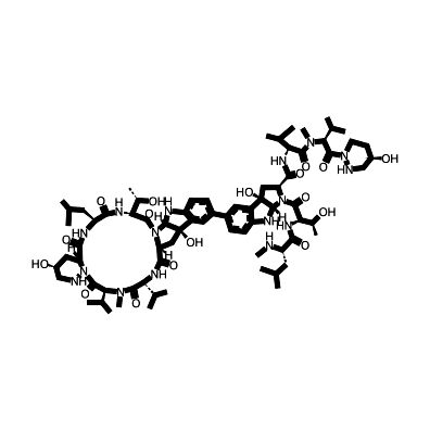 CN[C@@H](CC(C)C)C(=O)N[C@@H](C(=O)N1[C@H](C(=O)N[C@@H](C(=O)N(C)[C@H](C(=O)N2CC[C@@H](O)CN2)C(C)C)C(C)C)C[C@@]2(O)c3cc(-c4ccc5c(c4)[C@]4(O)C[C@H]6C(=O)N[C@H](C(C)C)C(=O)N(C)[C@@H](C(C)C)C(=O)N7NC[C@H](O)C[C@@H]7C(=O)N[C@@H](CC(C)C)C(=O)N[C@H]([C@H](C)O)C(=O)N6[C@@H]4N5)ccc3N[C@@H]12)[C@H](C)O